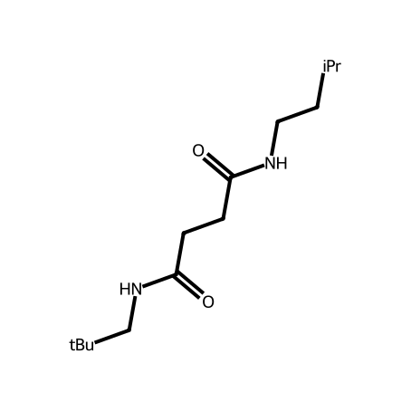 CC(C)CCNC(=O)CCC(=O)NCC(C)(C)C